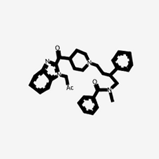 CC(=O)Cn1c(C(=O)C2CCN(CCC(CN(C)C(=O)c3ccccc3)c3ccccc3)CC2)nc2ccccc21